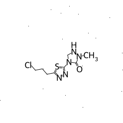 CN1NCN(c2nnc(CCCCl)s2)C1=O